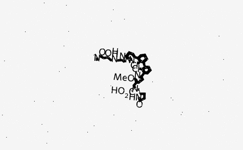 COc1nc(-c2cccc(-c3cccc(-c4ccc5nc(CNCC(O)CC(=O)N(C)C)cn5n4)c3Cl)c2Cl)ccc1CN(C[C@@H]1CCC(=O)N1)C(=O)O